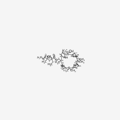 CCC(C)(CC(C)(C)C(=O)OC)C(=O)OCC1(C)c2ccc([nH]2)C(C)(C)c2ccc([nH]2)C(C)(C)c2ccc([nH]2)C(C)(C)c2ccc1[nH]2